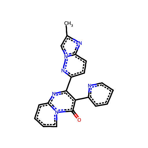 Cc1cn2nc(-c3nc4ccccn4c(=O)c3-c3ccccn3)ccc2n1